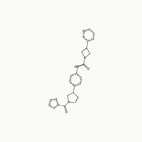 O=C(Nc1ccc(C2CCN(C(=O)c3cccs3)C2)cc1)N1CC(c2cccnc2)C1